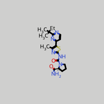 CCC(C)(C)c1nccc(-c2sc(NC(=O)N3CCC[C@H]3C(N)=O)nc2C)n1